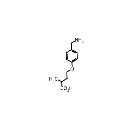 CC(CCOc1ccc(CN)cc1)C(=O)O